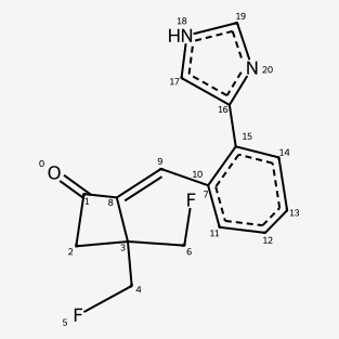 O=C1CC(CF)(CF)/C1=C\c1ccccc1-c1c[nH]cn1